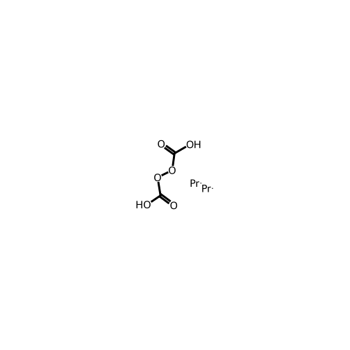 O=C(O)OOC(=O)O.[Pr].[Pr]